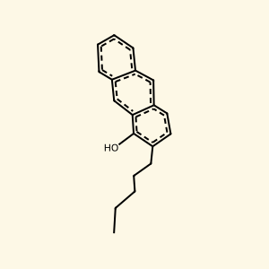 CCCCCc1ccc2cc3ccccc3cc2c1O